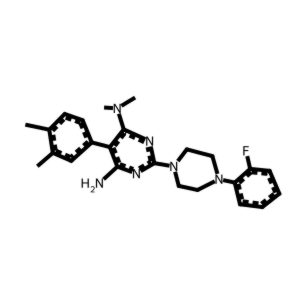 Cc1ccc(-c2c(N)nc(N3CCN(c4ccccc4F)CC3)nc2N(C)C)cc1C